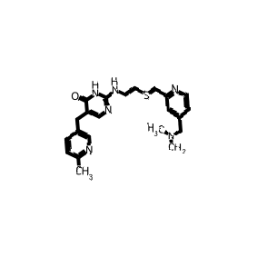 Cc1ccc(Cc2cnc(NCCSCc3cc(CN(C)C)ccn3)[nH]c2=O)cn1